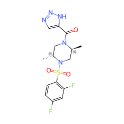 C[C@@H]1CN(C(=O)c2cnn[nH]2)[C@@H](C)CN1S(=O)(=O)c1ccc(F)cc1F